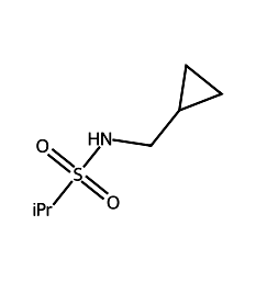 CC(C)S(=O)(=O)NCC1CC1